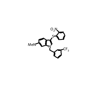 CNc1ccc2c(Sc3ccccc3[N+](=O)[O-])cn(Cc3cccc(C(F)(F)F)c3)c2c1